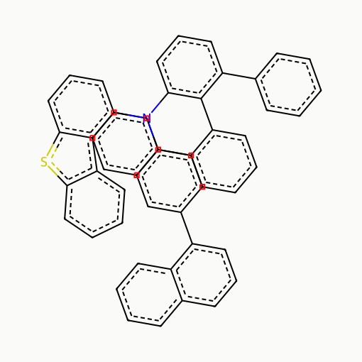 c1ccc(-c2ccccc2-c2c(-c3ccccc3)cccc2N(c2ccc(-c3cccc4ccccc34)cc2)c2cccc3sc4ccccc4c23)cc1